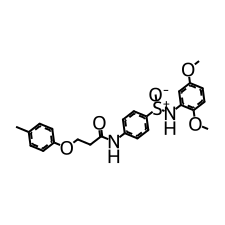 COc1ccc(OC)c(N[S+]([O-])c2ccc(NC(=O)CCOc3ccc(C)cc3)cc2)c1